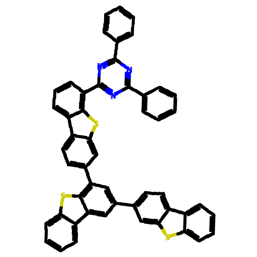 c1ccc(-c2nc(-c3ccccc3)nc(-c3cccc4c3sc3cc(-c5cc(-c6ccc7c(c6)sc6ccccc67)cc6c5sc5ccccc56)ccc34)n2)cc1